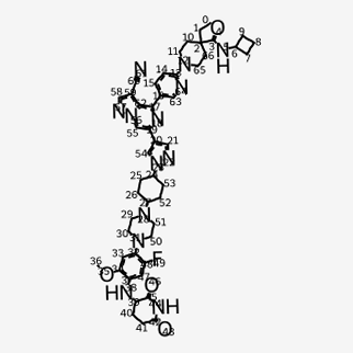 CCC1(C(=O)NC2CCC2)CCN(c2ccc(-c3nc(-c4cnn(C5CCC(N6CCN(c7cc(OC)c(N[C@@H]8CCC(=O)NC8=O)cc7F)CC6)CC5)c4)cn4ncc(C#N)c34)cn2)CC1